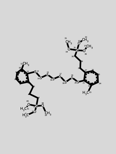 CO[Si](CCCc1cccc(C)c1SSSSSSSSc1c(C)cccc1CCC[Si](OC)(OC)OC)(OC)OC